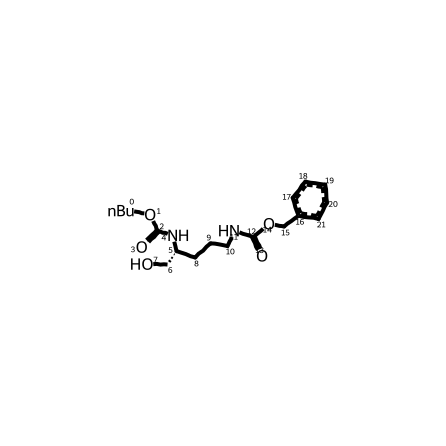 CCCCOC(=O)N[C@@H](CO)CCCNC(=O)OCc1ccccc1